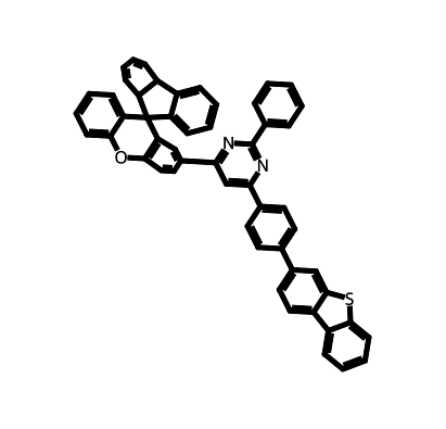 C1=CC2c3ccccc3C3(c4ccccc4Oc4ccc(-c5cc(-c6ccc(-c7ccc8c(c7)sc7ccccc78)cc6)nc(-c6ccccc6)n5)cc43)C2C=C1